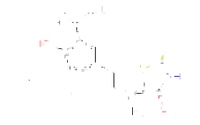 CC(CCc1cc(C(C)C)c(O)c(C(C)C)c1)=C1SC(=S)NC1=O